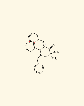 CC1(C)CN(Cc2ccccc2)C(c2ccccc2)/C(=C\c2ccccn2)C1=O